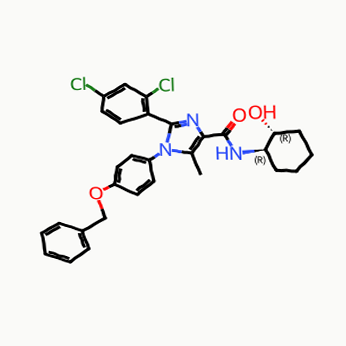 Cc1c(C(=O)N[C@@H]2CCCC[C@H]2O)nc(-c2ccc(Cl)cc2Cl)n1-c1ccc(OCc2ccccc2)cc1